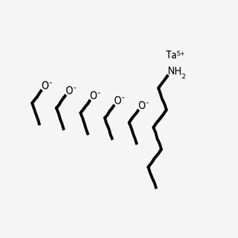 CCCCCCN.CC[O-].CC[O-].CC[O-].CC[O-].CC[O-].[Ta+5]